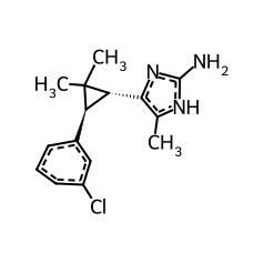 Cc1[nH]c(N)nc1[C@@H]1[C@@H](c2cccc(Cl)c2)C1(C)C